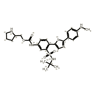 CNc1ccc(-c2ncc(-c3ccc(NC(=O)OCC4CCCN4)cc3S(=O)(=O)NC(C)(C)C)s2)cc1